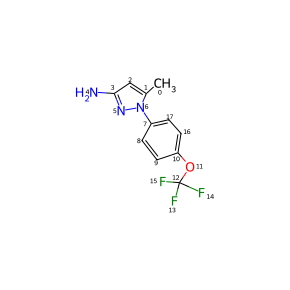 Cc1cc(N)nn1-c1ccc(OC(F)(F)F)cc1